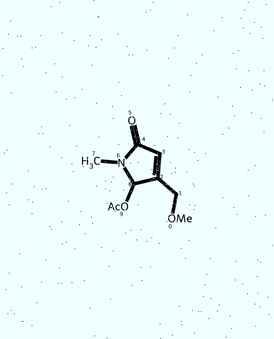 COCC1=CC(=O)N(C)C1OC(C)=O